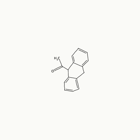 CC(=O)C1c2ccccc2Cc2ccccc21